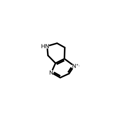 C1=NC2=C(CCNC2)[N+]=C1